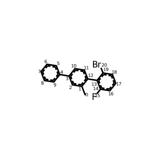 Cc1cc(-c2ccccc2)ccc1-c1c(F)cccc1Br